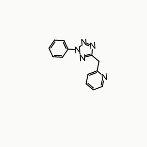 c1ccc(-n2nnc(Cc3ccccn3)n2)cc1